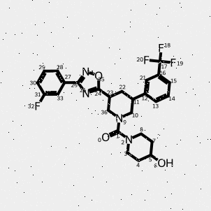 O=C(N1CCC(O)CC1)N1CC(c2cccc(C(F)(F)F)c2)CC(c2nc(-c3cccc(F)c3)no2)C1